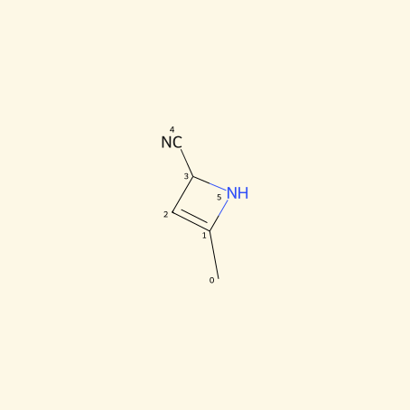 CC1=CC(C#N)N1